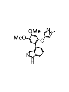 COc1cc(Oc2cnn(C)c2)c(-c2cccc3[nH]ncc23)cc1OC